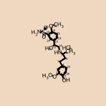 COc1cc(CCC(C)NCC(O)c2ccc(OC)c(S(N)(=O)=O)c2)ccc1O.Cl